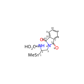 CSCC(CN1C(=O)c2ccccc2C1=O)NC(=O)O